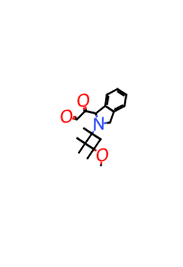 COC1(C)CC(C)(N2Cc3ccccc3C2C(=O)C=O)C1(C)C